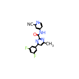 Cc1cc(-c2cc(F)cc(F)c2)nc(C(=O)Nc2ccnc(C#N)c2)n1